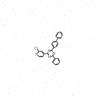 Clc1cc(-c2nc(-c3ccccc3)nc(-c3ccc(-c4ccccc4)cc3)n2)ccn1